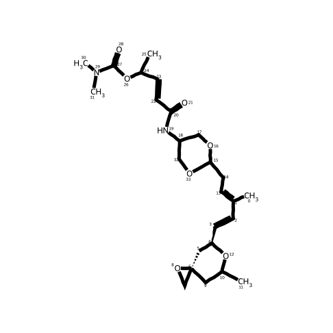 CC(C=C[C@@H]1C[C@@]2(CO2)CC(C)O1)=CCC1OCC(NC(=O)C=CC(C)OC(=O)N(C)C)CO1